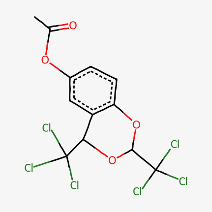 CC(=O)Oc1ccc2c(c1)C(C(Cl)(Cl)Cl)OC(C(Cl)(Cl)Cl)O2